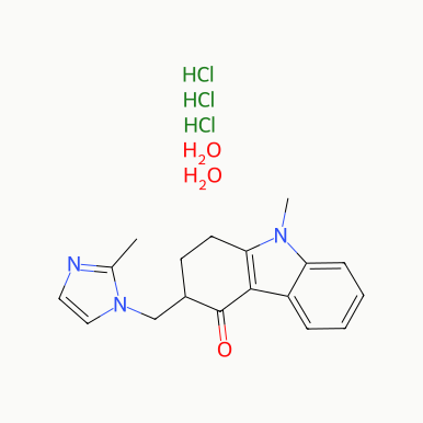 Cc1nccn1CC1CCc2c(c3ccccc3n2C)C1=O.Cl.Cl.Cl.O.O